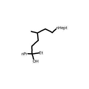 CCCCCCCCCC(C)CCC(O)(CC)CCC